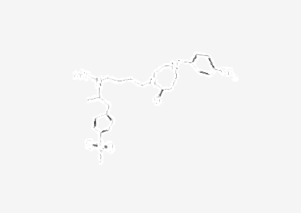 CCCN(CCCCN1CCN(Cc2ccc(C(F)(F)F)cc2)CCC1=O)C(C)Cc1ccc(S(C)(=O)=O)cc1